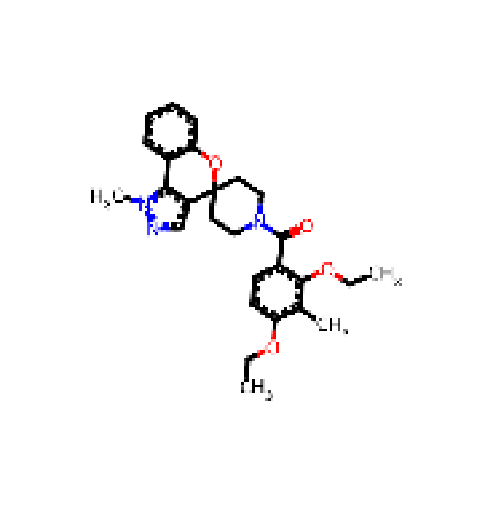 CCOc1ccc(C(=O)N2CCC3(CC2)Oc2ccccc2-c2c3cnn2C)c(OCC)c1C